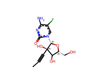 CC#C[C@@]1(O)C(O)[C@@H](CO)O[C@H]1n1cc(F)c(N)nc1=O